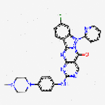 CN1CCN(c2ccc(Nc3ncc4c(=O)n5c(nc4n3)c3ccc(F)cc3n5-c3ccccn3)cc2)CC1